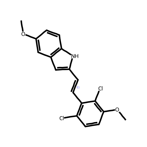 COc1ccc2[nH]c(/C=C/c3c(Cl)ccc(OC)c3Cl)cc2c1